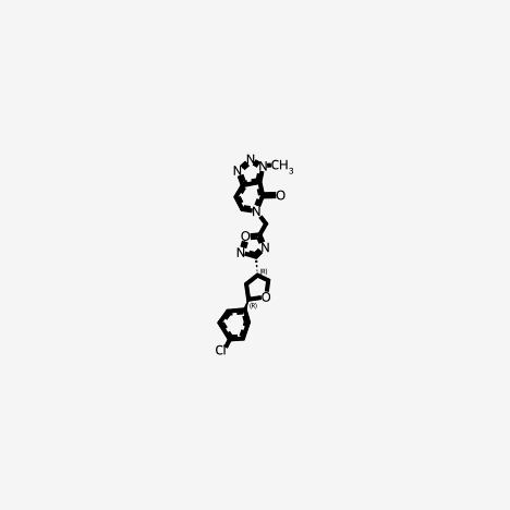 Cn1nnc2ccn(Cc3nc([C@@H]4CO[C@@H](c5ccc(Cl)cc5)C4)no3)c(=O)c21